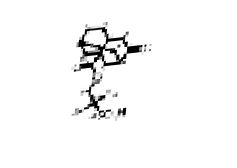 O=C1CC2CCC3CC1CC2(C(=O)OCC(F)(F)S(=O)(=O)O)C3